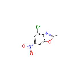 Cc1nc2c(Br)cc([N+](=O)[O-])cc2o1